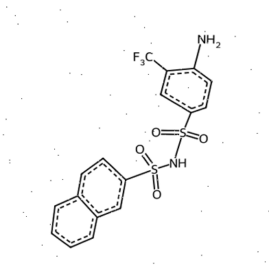 Nc1ccc(S(=O)(=O)NS(=O)(=O)c2ccc3ccccc3c2)cc1C(F)(F)F